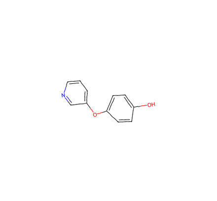 Oc1ccc(Oc2cccnc2)cc1